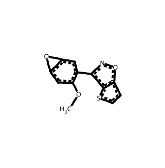 COc1cc2c(cc1-c1noc3ccsc13)O2